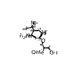 COC(CO)COc1cc(N)c(C(=N)I)cc1F